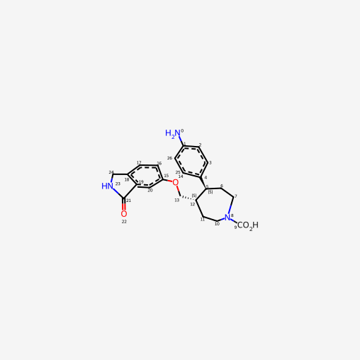 Nc1ccc([C@H]2CCN(C(=O)O)CC[C@@H]2COc2ccc3c(c2)C(=O)NC3)cc1